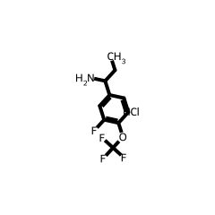 CCC(N)c1ccc(OC(F)(F)F)c(F)c1.Cl